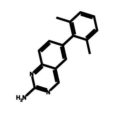 Cc1cccc(C)c1-c1ccc2nc(N)ncc2c1